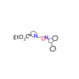 CCOC(=O)[C@@H]1CCCN(CCON=C2CC(c3ccccc3)c3ccccc32)C1